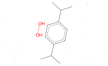 CC(C)c1ccc(C(C)C)cc1.OO